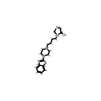 O=C1CSCN1CCCCN1CCN(c2nc3ccccc3s2)CC1